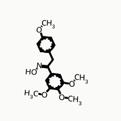 COc1ccc(CC(=NO)c2cc(OC)c(OC)c(OC)c2)cc1